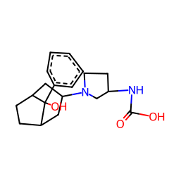 O=C(O)NC1CCN(C2CC3CCC(C2)C3(O)c2ccccc2)C1